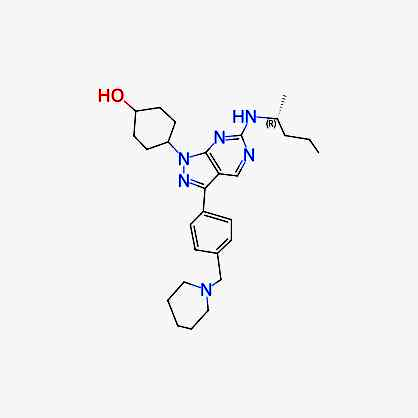 CCC[C@@H](C)Nc1ncc2c(-c3ccc(CN4CCCCC4)cc3)nn(C3CCC(O)CC3)c2n1